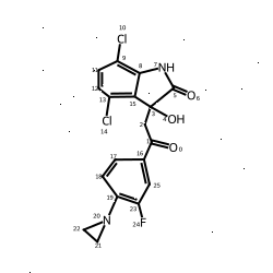 O=C(CC1(O)C(=O)Nc2c(Cl)ccc(Cl)c21)c1ccc(N2CC2)c(F)c1